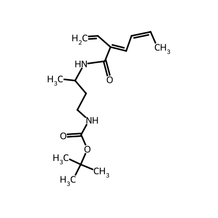 C=C/C(=C\C=C/C)C(=O)NC(C)CCNC(=O)OC(C)(C)C